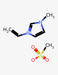 C=C[n+]1ccn(C)c1.CS(=O)(=O)[O-]